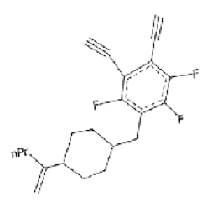 C#Cc1c(F)c(F)c(CC2CCC(C(=C)CCC)CC2)c(F)c1C#C